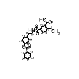 CCc1ccc(S(=O)(=O)NCCc2ccc3oc(-c4ccccc4)nc3c2)cc1C(=O)O